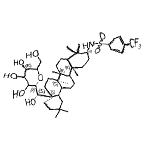 CC1(C)CC[C@]2([C@H](O)[C@H]3OC(CO)[C@H](O)C(O)C3O)CC[C@]3(C)C(=CCC4[C@@]5(C)CC[C@H](NS(=O)(=O)c6ccc(C(F)(F)F)cc6)C(C)(C)C5CC[C@]43C)C2C1